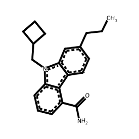 CCCc1c[c]c2c3c(C(N)=O)cccc3n(CC3CCC3)c2c1